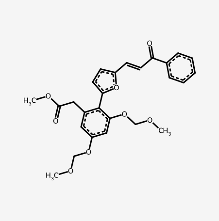 COCOc1cc(CC(=O)OC)c(-c2ccc(C=CC(=O)c3ccccc3)o2)c(OCOC)c1